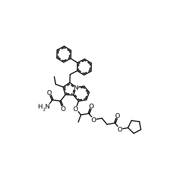 CCc1c(C(=O)C(N)=O)c2c(OC(C)C(=O)OCCC(=O)OC3CCCC3)cccn2c1Cc1ccccc1-c1ccccc1